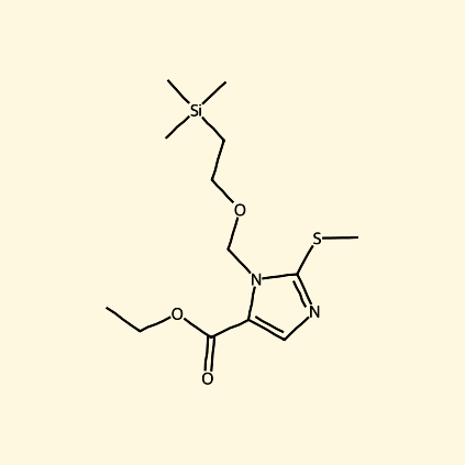 CCOC(=O)c1cnc(SC)n1COCC[Si](C)(C)C